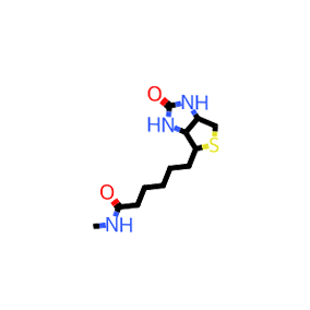 CNC(=O)CCCCCC1SCC2NC(=O)NC21